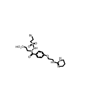 O=C(O)CCN(NS(=O)(=O)CCBr)C(=O)c1ccc(OCCNC2=NCCCN2)cc1